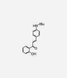 CC(C)(C)Nc1ccc(/C=C/C(=O)c2ccccc2O)cc1